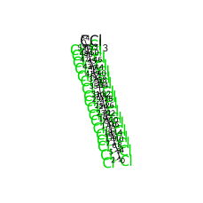 ClC(Cl)C(Cl)(Cl)C(Cl)(Cl)C(Cl)(Cl)C(Cl)(Cl)C(Cl)(Cl)C(Cl)(Cl)C(Cl)(Cl)C(Cl)(Cl)C(Cl)(Cl)C(Cl)(Cl)C(Cl)(Cl)C(Cl)(Cl)C(Cl)(Cl)C(Cl)(Cl)C(Cl)(Cl)C(Cl)(Cl)C(Cl)(Cl)C(Cl)(Cl)Cl